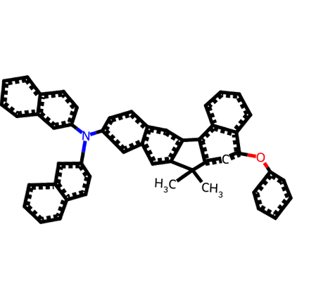 CC1(C)c2cc3cc(N(c4ccc5ccccc5c4)c4ccc5ccccc5c4)ccc3cc2-c2c1cc(Oc1ccccc1)c1ccccc21